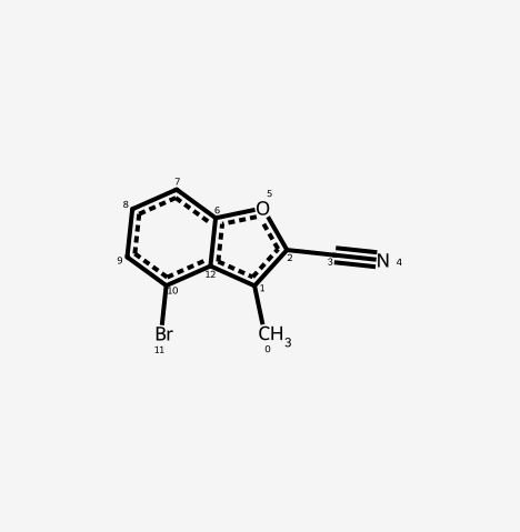 Cc1c(C#N)oc2cccc(Br)c12